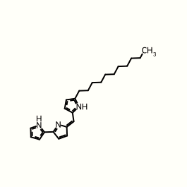 CCCCCCCCCCCc1ccc(/C=C2/C=CC(c3ccc[nH]3)=N2)[nH]1